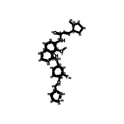 COc1c(NC(=O)/C=C/C2CCCN2C)ccc2ncnc(Nc3ccc(OCc4ccccn4)c(F)c3)c12